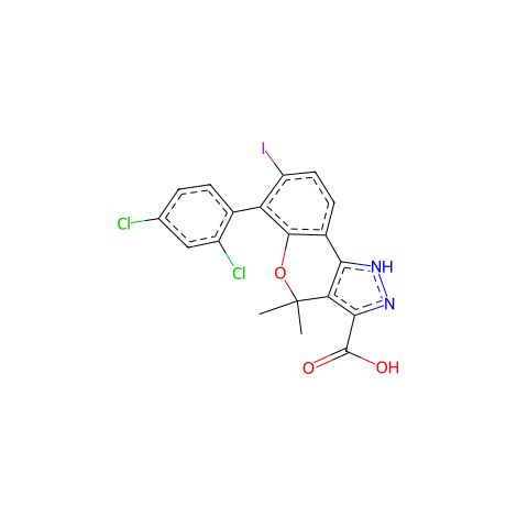 CC1(C)Oc2c(ccc(I)c2-c2ccc(Cl)cc2Cl)-c2[nH]nc(C(=O)O)c21